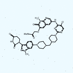 CNC(=O)COc1cc2cc(Nc3nc(N4CCC(CC5CCN(c6ccc7c(C8CCC(=O)NC8=O)nn(C)c7c6)CC5)CC4)ncc3Cl)cnc2n(C)c1=O